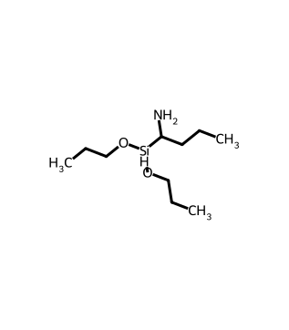 CCCO[SiH](OCCC)C(N)CCC